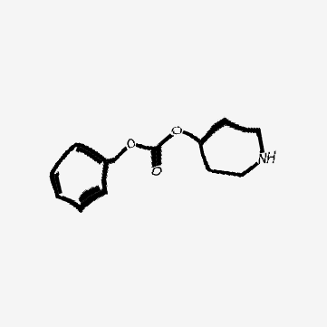 O=C(Oc1ccccc1)OC1CCNCC1